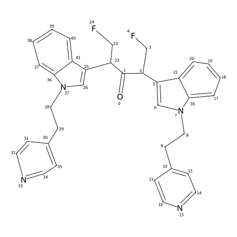 O=C(C(CF)c1cn(CCc2ccncc2)c2ccccc12)C(CF)c1cn(CCc2ccncc2)c2ccccc12